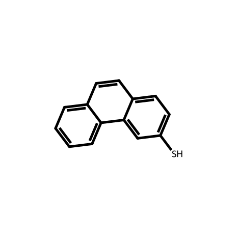 Sc1ccc2ccc3ccccc3c2c1